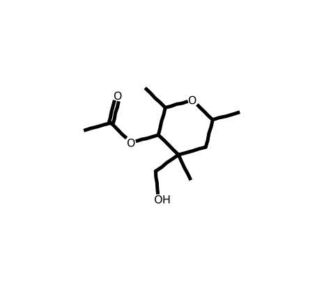 CC(=O)OC1C(C)OC(C)CC1(C)CO